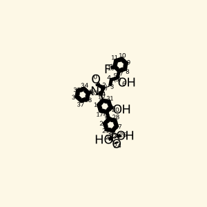 O=C1[C@H](CC[C@H](O)c2ccccc2F)[C@@H](c2ccc(-c3ccc(P(=O)(O)O)cc3)c(O)c2)N1c1ccccc1